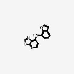 c1cc(Nc2ccnc3ocnc23)c2occc2c1